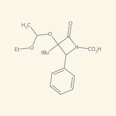 CCOC(C)OC1(C(C)(C)C)C(=O)N(C(=O)O)C1c1ccccc1